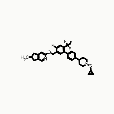 CC1Cc2cnc(OCc3cc(-c4ccc(C5CCN(SC6CC6)CC5)cc4)c(C(F)(F)F)cc3F)cc2C1